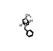 CN1C[C@H]2C[C@@H]1CN2Cc1ccccc1